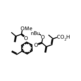 C=C(C)C(=O)OC.C=C(C=C(C)C(=O)O)C(=O)OCCCC.C=Cc1ccccc1